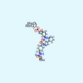 COCC(COC)OC(=O)c1cc2cc(NC(=O)[C@@H]3[C@H](C4CCCCC4)CCN3C(=O)C3CCC([C@@H](CF)NC(=O)OC(C)(C)C)CC3)ccc2o1